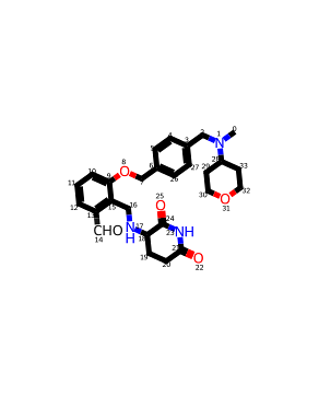 CN(Cc1ccc(COc2cccc(C=O)c2CNC2CCC(=O)NC2=O)cc1)C1CCOCC1